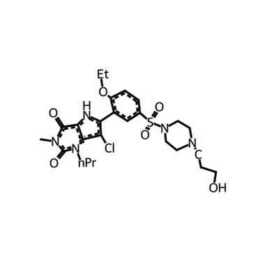 CCCn1c(=O)n(C)c(=O)c2[nH]c(-c3cc(S(=O)(=O)N4CCN(CCCO)CC4)ccc3OCC)c(Cl)c21